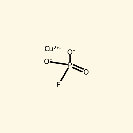 O=P([O-])([O-])F.[Cu+2]